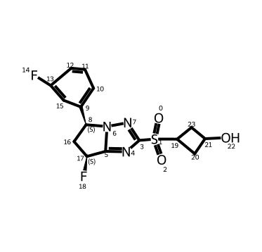 O=S(=O)(c1nc2n(n1)[C@H](c1cccc(F)c1)C[C@@H]2F)C1CC(O)C1